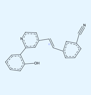 N#Cc1cccc(/C=C/c2ccnc(-c3ccccc3O)c2)c1